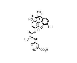 CC1CC[C@]23c4c5ccc(O)c4O[C@H]2C(OC(=O)[C@H](C)NC(=O)C[C@H](O)C(=O)O)=CC[C@@]3(O)[C@H]1C5